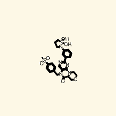 CS(=O)(=O)c1ccc(CN2C(=O)C3COCCN3c3nc(-c4cccc(N5CCCS5(O)O)c4)ncc32)cc1